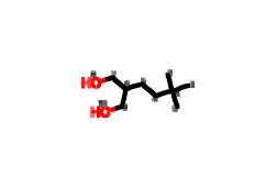 CC(C)(C)CCC(CO)CO